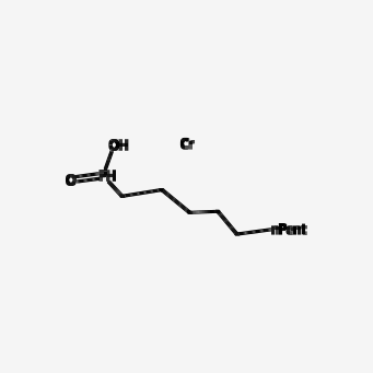 CCCCCCCCCC[PH](=O)O.[Cr]